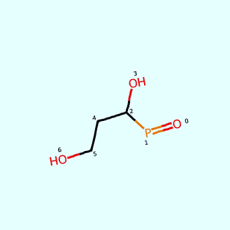 O=PC(O)CCO